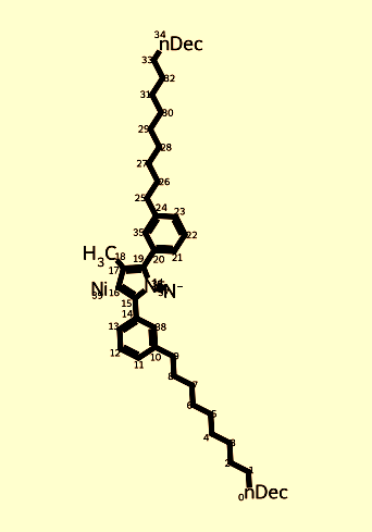 CCCCCCCCCCCCCCCCCCCc1cccc(C2=CC(C)=C(c3cccc(CCCCCCCCCCCCCCCCCCC)c3)[N+]2=[N-])c1.[Ni]